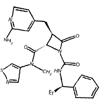 CC[C@@H](NC(=O)N1C(=O)[C@H](Cc2ccnc(N)c2)[C@H]1C(=O)N(C)c1cnsc1)c1ccccc1